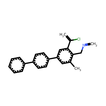 C=NCc1c(C)cc(-c2ccc(-c3ccccc3)cc2)cc1C(=C)Cl